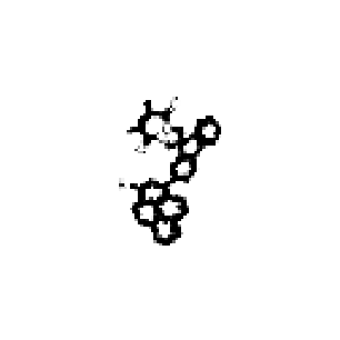 C=C(C)C(=O)OCC1(COC(=O)C(=C)C)c2ccccc2-c2ccc(-c3cc(Br)c4ccc5cccc6ccc3c4c56)cc21